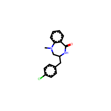 CN1CC(Cc2ccc(Cl)cc2)NC(=O)c2ccccc21